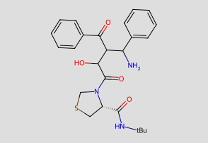 CC(C)(C)NC(=O)[C@@H]1CSCN1C(=O)C(O)C(C(=O)c1ccccc1)C(N)c1ccccc1